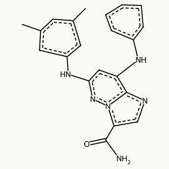 Cc1cc(C)cc(Nc2cc(Nc3ccccc3)c3ncc(C(N)=O)n3n2)c1